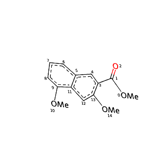 COC(=O)c1cc2cccc(OC)c2cc1OC